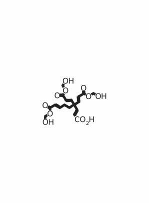 O=C(O)C=CC(C=CC(=O)OCO)(C=CC(=O)OCO)CCC=CC(=O)OCO